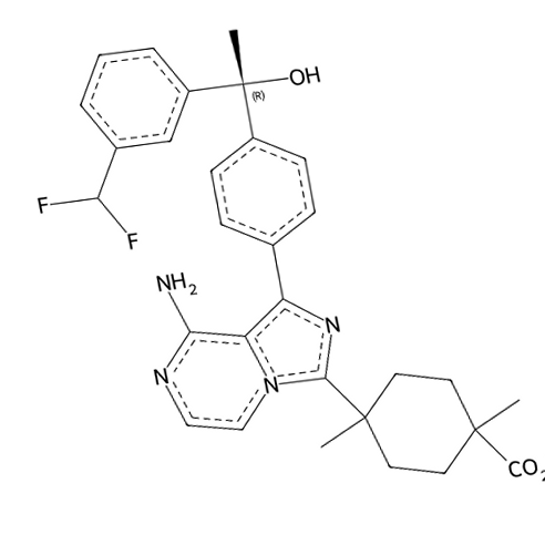 CC1(C(=O)O)CCC(C)(c2nc(-c3ccc([C@@](C)(O)c4cccc(C(F)F)c4)cc3)c3c(N)nccn23)CC1